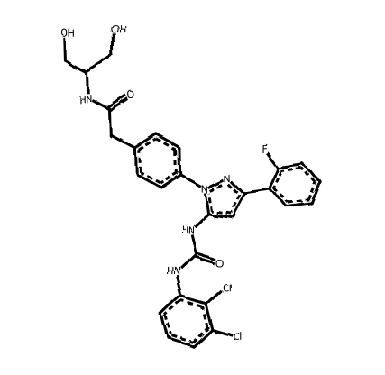 O=C(Cc1ccc(-n2nc(-c3ccccc3F)cc2NC(=O)Nc2cccc(Cl)c2Cl)cc1)NC(CO)CO